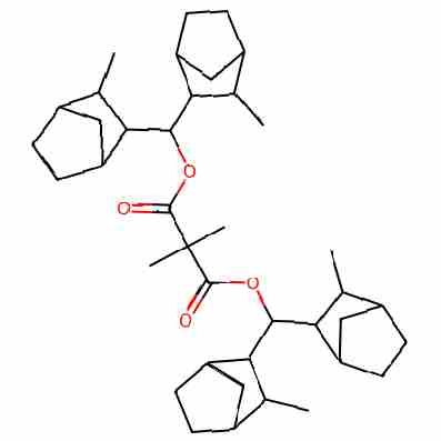 CC1C2CCC(C2)C1C(OC(=O)C(C)(C)C(=O)OC(C1C2CCC(C2)C1C)C1C2CCC(C2)C1C)C1C2CCC(C2)C1C